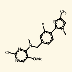 COc1cnc(Cl)nc1N(C)Cc1ccc(-c2nc(C(F)(F)F)cn2C)c(F)c1